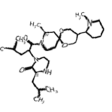 CC(C)CC(C(=O)N1CCC2(C[C@@H]1C)OCC(C1CCCCN1C)CO2)N1CCN[C@@H](CC(C)C)C1=O